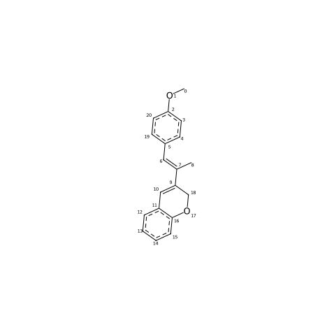 COc1ccc(C=C(C)C2=Cc3ccccc3OC2)cc1